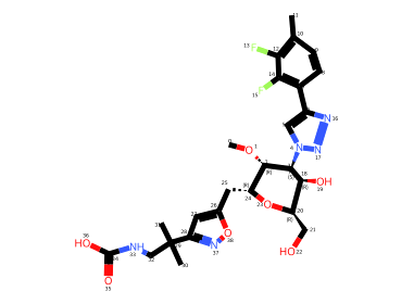 CO[C@@H]1[C@@H](n2cc(-c3ccc(C)c(F)c3F)nn2)[C@@H](O)[C@@H](CO)O[C@@H]1Cc1cc(C(C)(C)CNC(=O)O)no1